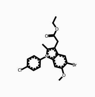 CCOC(=O)Cc1c(C)n(-c2ccc(Cl)cc2)c2cc(OC)c(Br)cc12